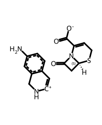 Nc1ccc2c(c1)CN[C+]=C2.O=C([O-])C1=CCS[C@H]2CC(=O)N12